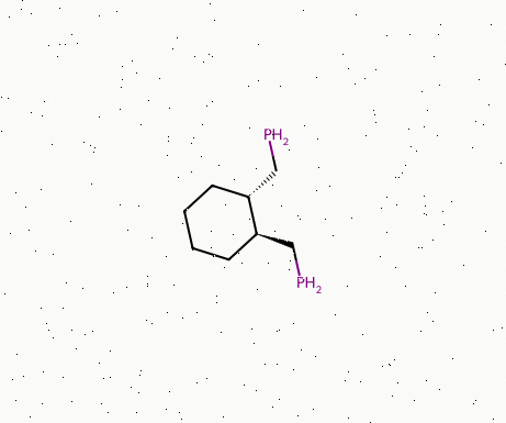 PC[C@H]1CCCC[C@@H]1CP